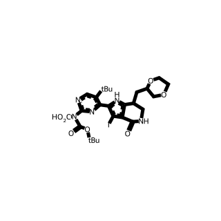 CC(C)(C)OC(=O)N(C(=O)O)c1ncc(C(C)(C)C)c(-c2[nH]c3c(c2I)C(=O)NCC3CC2COCCO2)n1